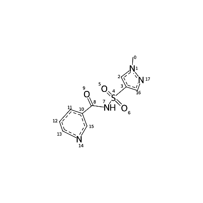 Cn1cc(S(=O)(=O)NC(=O)c2cccnc2)cn1